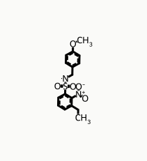 CCc1cccc(S(=O)(=O)[N]Cc2ccc(OC)cc2)c1[N+](=O)[O-]